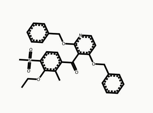 CCOc1c(S(C)(=O)=O)ccc(C(=O)c2c(OCc3ccccc3)ccnc2OCc2ccccc2)c1C